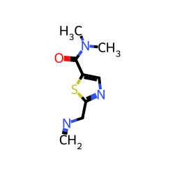 C=NCc1ncc(C(=O)N(C)C)s1